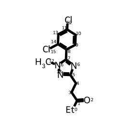 CCC(=O)CCc1nc(-c2ccc(Cl)cc2Cl)n(C)n1